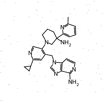 Cc1cccc(C2(N)CCCN(c3cnc(C4CC4)cc3Cn3cnc4c(N)nccc43)C2)n1